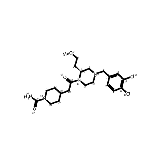 COCC[C@H]1CN(Cc2ccc(Cl)c(Cl)c2)CCN1C(=O)CC1CCN(C(N)=O)CC1